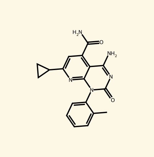 Cc1ccccc1-n1c(=O)nc(N)c2c(C(N)=O)cc(C3CC3)nc21